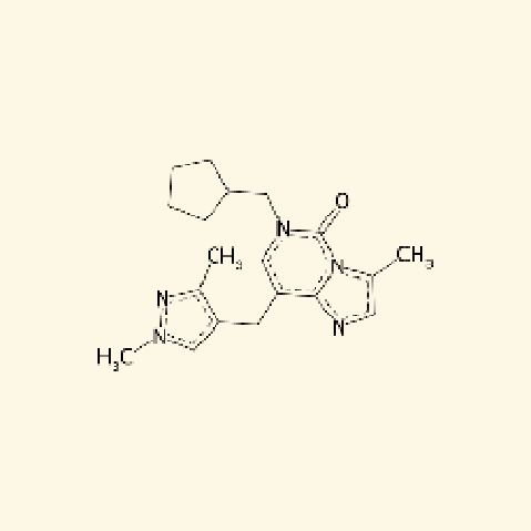 Cc1nn(C)cc1Cc1cn(CC2CCCC2)c(=O)n2c(C)cnc12